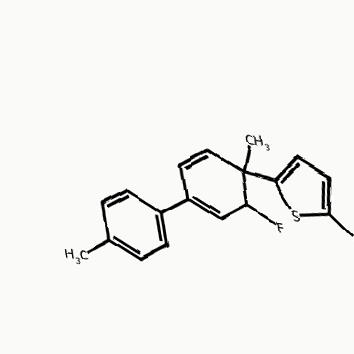 Cc1ccc(C2=CC(F)C(C)(c3ccc(F)s3)C=C2)cc1